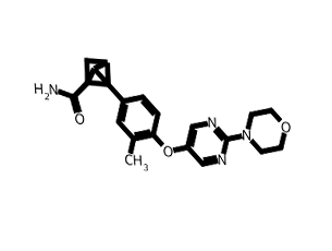 Cc1cc(C2C3CC2(C(N)=O)C3)ccc1Oc1cnc(N2CCOCC2)nc1